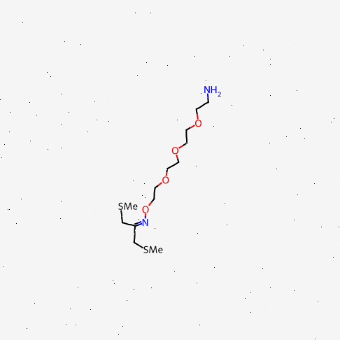 CSCC(CSC)=NOCCOCCOCCOCCN